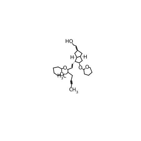 CC#CCC(C)[C@@H](/C=C/[C@@H]1[C@H]2C/C(=C\CO)C[C@H]2C[C@H]1OC1CCCCO1)OC1CCCCO1